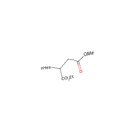 CCCCCCC(CC(=O)OC)C(=O)OCC